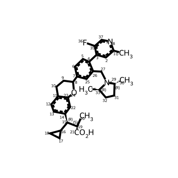 Cc1cc(-c2ccc(C3CCc4ccc([C@H](C5CC5)[C@H](C)C(=O)O)cc4O3)cc2CN2[C@H](C)CC[C@H]2C)c(F)cn1